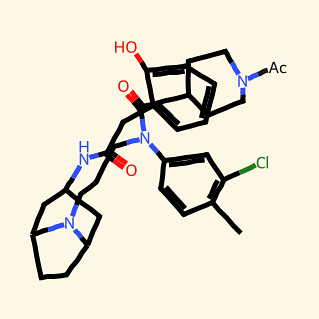 CC(=O)N1CCC(C(=O)N(CCCN2C3CCC2CC(NC(=O)Cc2ccccc2O)C3)c2ccc(C)c(Cl)c2)CC1